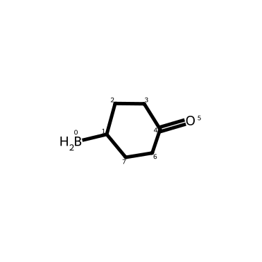 BC1CCC(=O)CC1